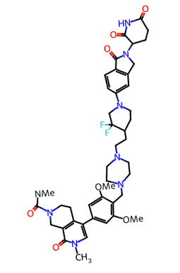 CNC(=O)N1CCc2c(-c3cc(OC)c(CN4CCN(CCC5CCN(c6ccc7c(c6)CN(C6CCC(=O)NC6=O)C7=O)CC5(F)F)CC4)c(OC)c3)cn(C)c(=O)c2C1